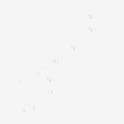 Cc1cc(C(F)(F)F)cc(C)c1C(=O)NC(Cc1ccc(N2CCC(CNc3ccccn3)CC2)cc1)C(=O)O